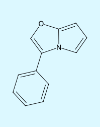 c1ccc(-c2coc3cccn23)cc1